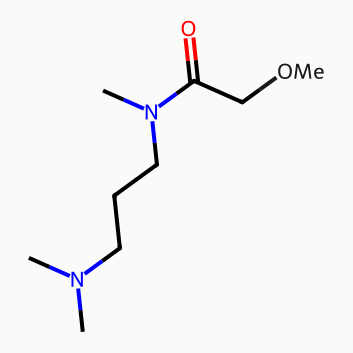 COCC(=O)N(C)CCCN(C)C